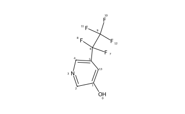 Oc1cncc(C(F)(F)C(F)(F)F)c1